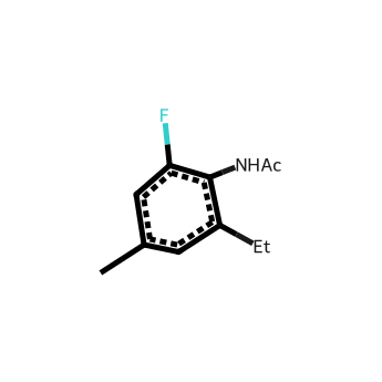 CCc1cc(C)cc(F)c1NC(C)=O